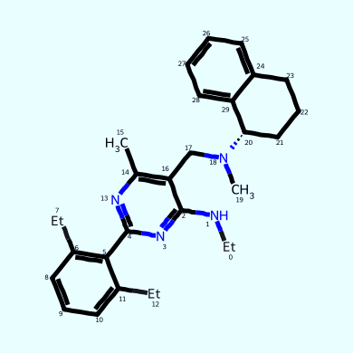 CCNc1nc(-c2c(CC)cccc2CC)nc(C)c1CN(C)[C@H]1CCCc2ccccc21